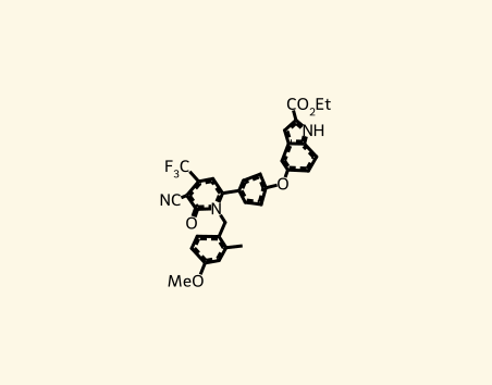 CCOC(=O)c1cc2cc(Oc3ccc(-c4cc(C(F)(F)F)c(C#N)c(=O)n4Cc4ccc(OC)cc4C)cc3)ccc2[nH]1